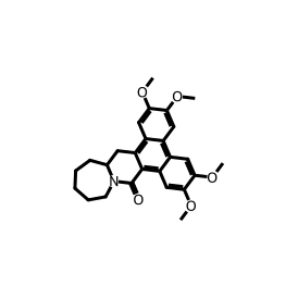 COc1cc2c3c(c4cc(OC)c(OC)cc4c2cc1OC)C(=O)N1CCCCCC1C3